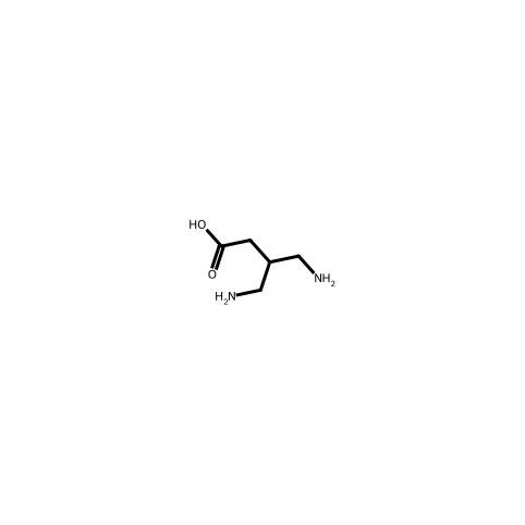 NCC(CN)CC(=O)O